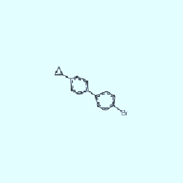 Brc1ccc(-c2c[c]c(C3CC3)cc2)cc1